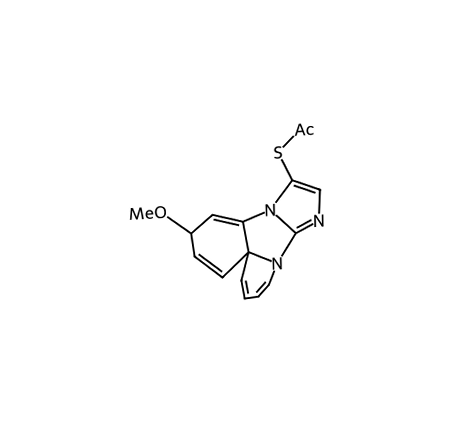 COC1C=CC23C=CC=CN2c2ncc(SC(C)=O)n2C3=C1